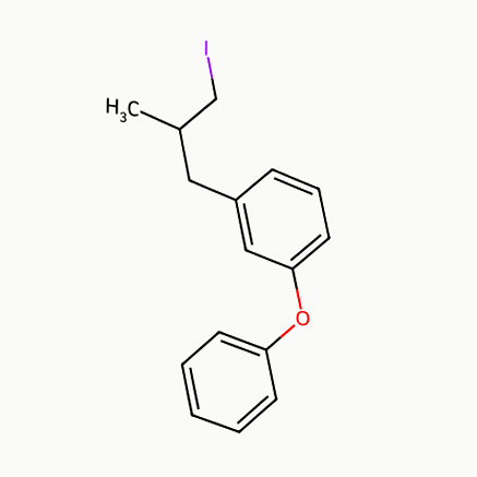 CC(CI)Cc1cccc(Oc2ccccc2)c1